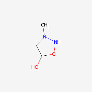 CN1CC(O)ON1